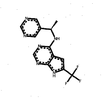 C[C@@H](Nc1ncnc2[nH]c(C(F)(F)F)cc12)c1cncnc1